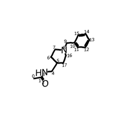 CC(=O)NCC1CCN(Cc2ccccc2)CC1